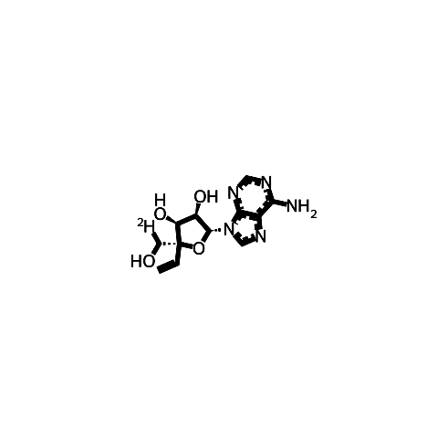 [2H]C(O)[C@@]1(C=C)O[C@@H](n2cnc3c(N)ncnc32)[C@H](O)[C@@H]1O